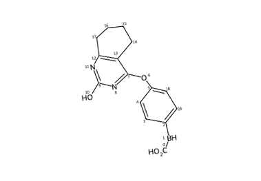 O=C(O)Bc1ccc(Oc2nc(O)nc3c2CCCC3)cc1